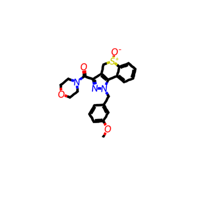 COc1cccc(Cn2nc(C(=O)N3CCOCC3)c3c2-c2ccccc2[S+]([O-])C3)c1